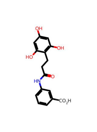 O=C(CCc1c(O)cc(O)cc1O)Nc1cccc(C(=O)O)c1